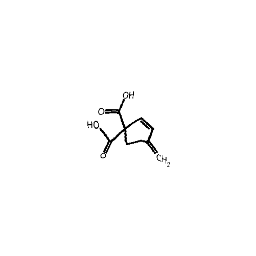 C=C1C=CC(C(=O)O)(C(=O)O)C1